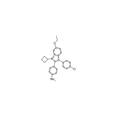 CCOc1ccc2c(-c3ccc(Cl)cc3)c(-c3ccc(N)cc3)n(C3CCC3)c2c1